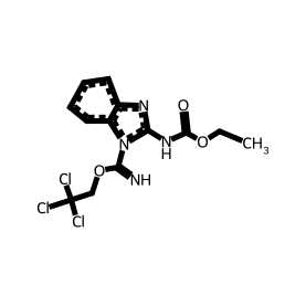 CCOC(=O)Nc1nc2ccccc2n1C(=N)OCC(Cl)(Cl)Cl